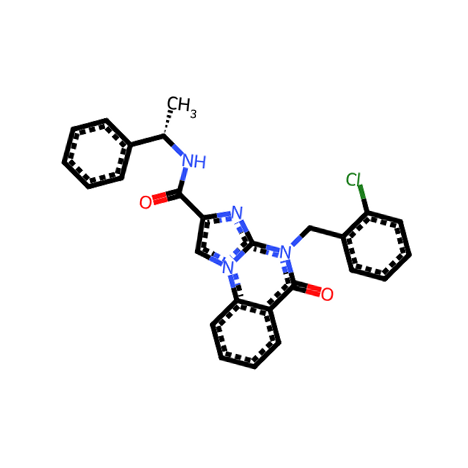 C[C@H](NC(=O)c1cn2c3ccccc3c(=O)n(Cc3ccccc3Cl)c2n1)c1ccccc1